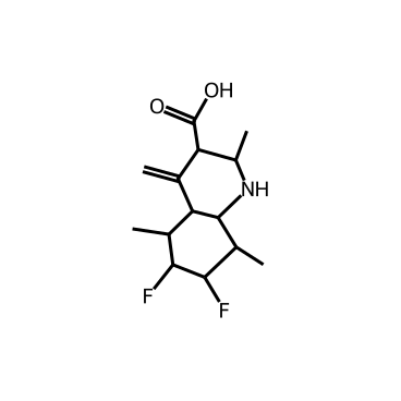 C=C1C(C(=O)O)C(C)NC2C(C)C(F)C(F)C(C)C12